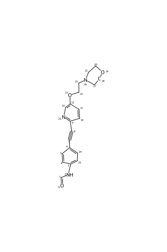 O=CNc1ccc(C#Cc2ccc(OCCN3CCOCC3)cn2)cc1